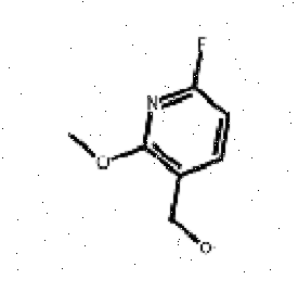 COc1nc(F)ccc1C[O]